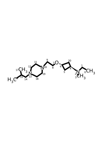 CCN(C)[C@H]1C[C@H](OCCN2CCN(CC(C)C)CC2)C1